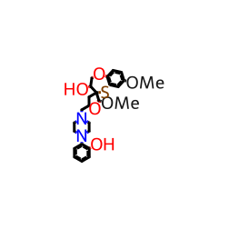 COC(=O)C1(CCCN2CCN(c3ccccc3O)CC2)Sc2cc(OC)ccc2OCC1O